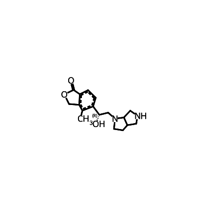 Cc1c([C@@H](O)CN2CCC3CNCC32)ccc2c1COC2=O